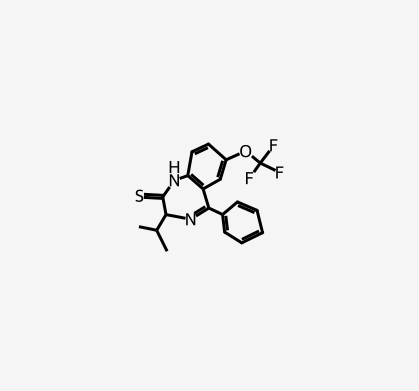 CC(C)C1N=C(c2ccccc2)c2cc(OC(F)(F)F)ccc2NC1=S